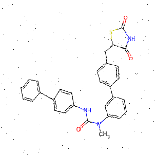 CN(C(=O)Nc1ccc(-c2ccccc2)cc1)c1cccc(-c2ccc(CC3SC(=O)NC3=O)cc2)c1